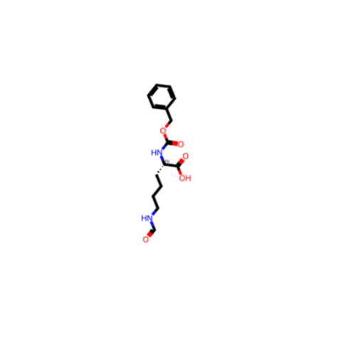 O=CNCCCC[C@H](NC(=O)OCc1ccccc1)C(=O)O